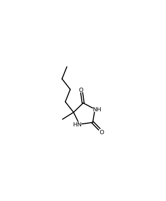 CCCCC1(C)NC(=O)NC1=O